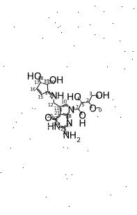 COC(CO)C(O)C(O)n1cc(CNC2C=CC(O)C2O)c2c(=O)[nH]c(N)nc21